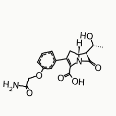 C[C@@H](O)[C@H]1C(=O)N2C(C(=O)O)=C(c3cccc(OCC(N)=O)c3)C[C@H]12